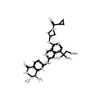 COCC(C)(N)c1cnc(OC2CN(C(=O)C3CC3)C2)c2cnc(Nc3ccc4c(n3)[C@@H](C)[C@H](C)OC4=O)cc12